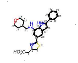 O=C(O)C[C@@H]1CSC(c2cc(NCC3CCOCC3)c3[nH]c(-c4ccccc4)cc3c2)=N1